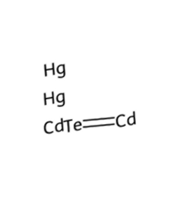 [Cd].[Cd]=[Te].[Hg].[Hg]